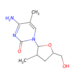 Cc1cn(C2OC(CO)CC2C)c(=O)nc1N